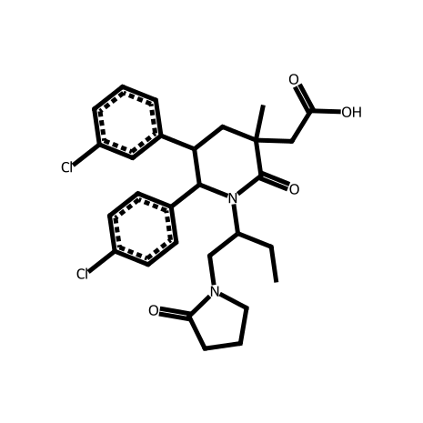 CCC(CN1CCCC1=O)N1C(=O)C(C)(CC(=O)O)CC(c2cccc(Cl)c2)C1c1ccc(Cl)cc1